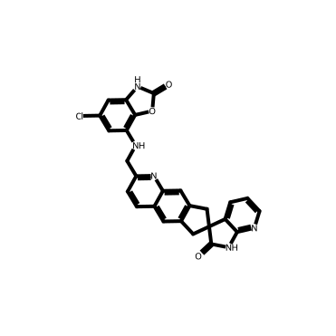 O=C1Nc2ncccc2C12Cc1cc3ccc(CNc4cc(Cl)cc5[nH]c(=O)oc45)nc3cc1C2